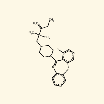 C=C(CC)C(C)(C)CN1CCN(C2=Nc3ccccc3Cc3cccc(F)c32)CC1